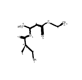 C[C@H](CS)C(=O)OC(CC(=O)OCC(F)(F)F)C(=O)O